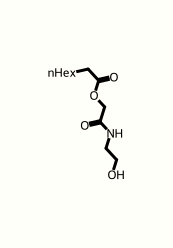 CCCCCCCC(=O)OCC(=O)NCCO